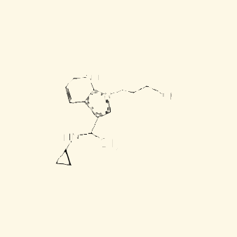 CCCCn1cc(C(C)NC2CC2)c2c1NCC=C2